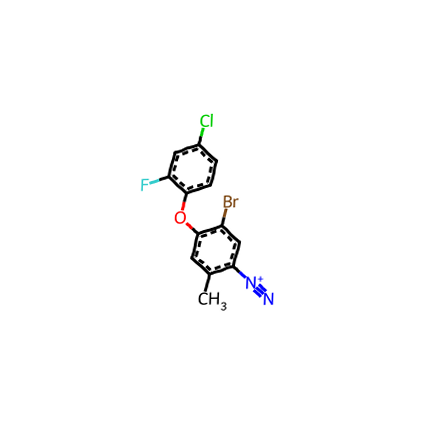 Cc1cc(Oc2ccc(Cl)cc2F)c(Br)cc1[N+]#N